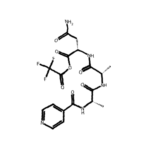 C[C@H](NC(=O)c1ccncc1)C(=O)N[C@@H](C)C(=O)N[C@@H](CC(N)=O)C(=O)OC(=O)C(F)(F)F